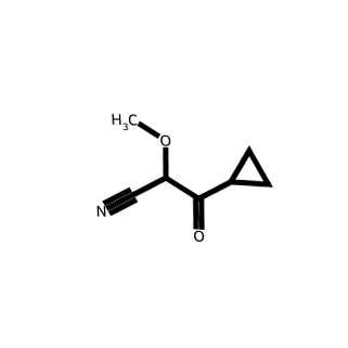 COC(C#N)C(=O)C1CC1